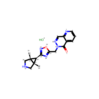 Cl.O=c1c2cccnc2cnn1Cc1nc([C@H]2[C@@H]3CNC[C@@H]32)no1